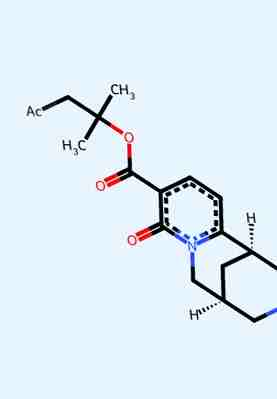 CC(=O)CC(C)(C)OC(=O)c1ccc2n(c1=O)C[C@@H]1CNC[C@H]2C1